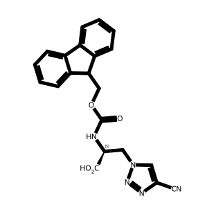 N#Cc1cn(C[C@H](NC(=O)OCC2c3ccccc3-c3ccccc32)C(=O)O)nn1